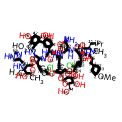 COc1ccc(CCC(=O)N(C)[C@H](CC(C)C)C(=O)N[C@H]2C(=O)N[C@@H](CC(N)=O)C(=O)N[C@H]3C(=O)N[C@H]4C(=O)NC(C(=O)N[C@@H](C(=O)O)c5cc(O)cc(O)c5-c5cc4ccc5O)C(O[C@H]4C[C@](C)(NCc5c[nH]cn5)[C@@H](O)[C@H](C)O4)c4ccc(c(Cl)c4)Oc4cc3cc(c4OC3O[C@H](CO)[C@@H](O)[C@H](O)[C@H]3O)Oc3ccc(cc3Cl)[C@H]2O)cc1